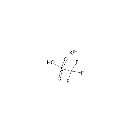 O=S(=O)(O)C(F)(F)F.[K+3]